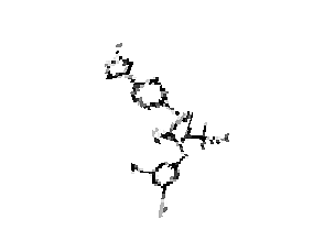 CC(C)(O)c1nn(-c2ccc(-c3cn[nH]c3)cc2)c(=O)n1Cc1cc(F)cc(F)c1